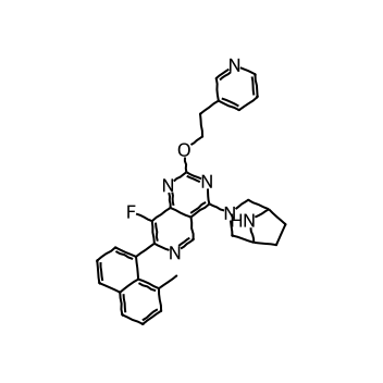 Cc1cccc2cccc(-c3ncc4c(N5CC6CCC(C5)N6)nc(OCCc5cccnc5)nc4c3F)c12